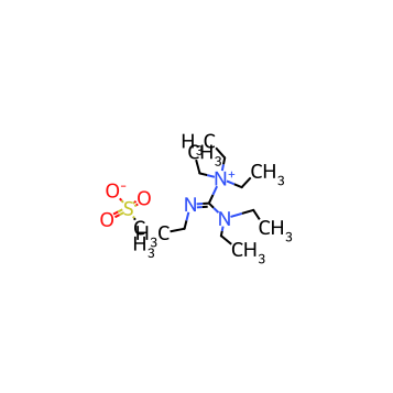 CC/N=C(\N(CC)CC)[N+](CC)(CC)CC.CS(=O)(=O)[O-]